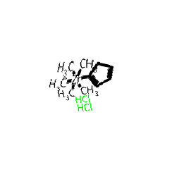 Cl.Cl.[CH3][Zr]([CH3])([CH3])([CH3])([CH3])[C]1=CC=CC1